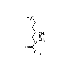 C=C.CCCCCOC(C)=O